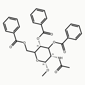 CO[C@@H]1OC(COC(=O)c2ccccc2)[C@H](OC(=O)c2ccccc2)C(OC(=O)c2ccccc2)[C@@H]1NC(C)=O